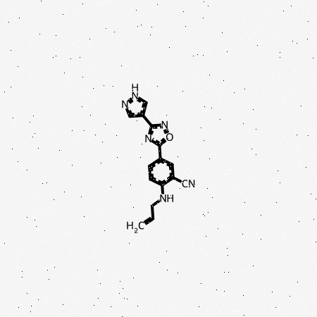 C=CCNc1ccc(-c2nc(-c3cn[nH]c3)no2)cc1C#N